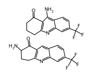 NC1CCc2nc3cc(C(F)(F)F)ccc3cc2C1=O.Nc1c2c(nc3cc(C(F)(F)F)ccc13)CCCC2=O